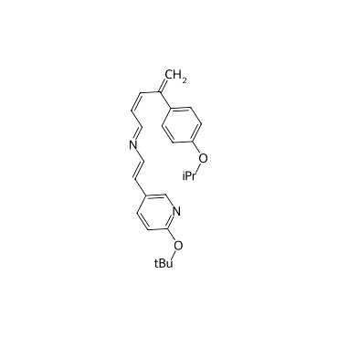 C=C(\C=C/C=N/C=C/c1ccc(OC(C)(C)C)nc1)c1ccc(OC(C)C)cc1